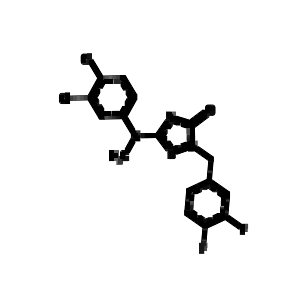 CN(c1ccc(Cl)c(Cl)c1)c1nc(=O)n(Cc2ccc(F)c(F)c2)s1